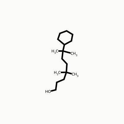 CC(C)(CCCO)CCC(C)(C)C1CCCCC1